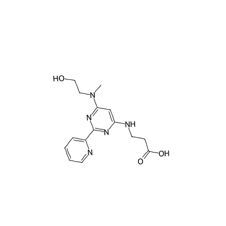 CN(CCO)c1cc(NCCC(=O)O)nc(-c2ccccn2)n1